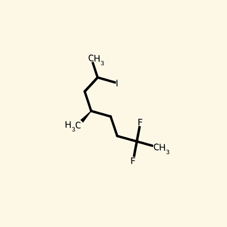 CC(I)C[C@H](C)CCC(C)(F)F